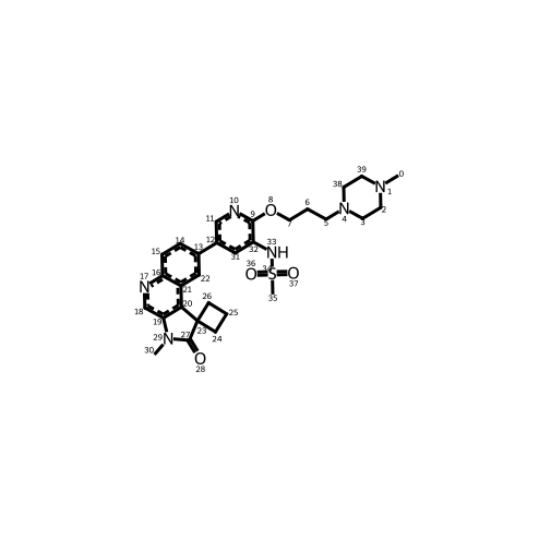 CN1CCN(CCCOc2ncc(-c3ccc4ncc5c(c4c3)C3(CCC3)C(=O)N5C)cc2NS(C)(=O)=O)CC1